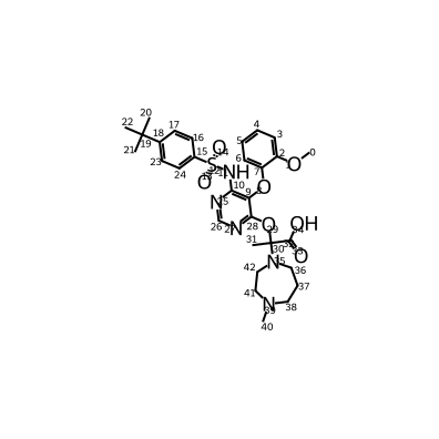 COc1ccccc1Oc1c(NS(=O)(=O)c2ccc(C(C)(C)C)cc2)ncnc1OC(C)(C(=O)O)N1CCCN(C)CC1